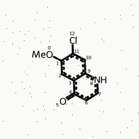 COc1cc2c(=O)cc[nH]c2cc1Cl